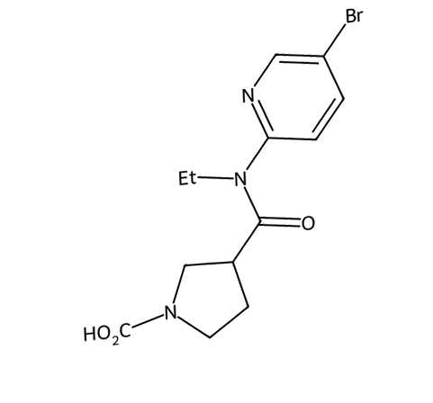 CCN(C(=O)C1CCN(C(=O)O)C1)c1ccc(Br)cn1